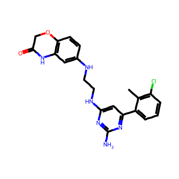 Cc1c(Cl)cccc1-c1cc(NCCNc2ccc3c(c2)NC(=O)CO3)nc(N)n1